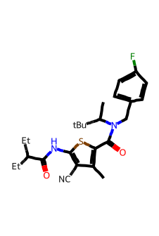 CCC(CC)C(=O)Nc1sc(C(=O)N(Cc2ccc(F)cc2)C(C)C(C)(C)C)c(C)c1C#N